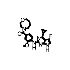 COc1cc(C(=O)N2CCCCOCC2)ccc1Nc1nc(C2CC2)c2c(F)c[nH]c2n1